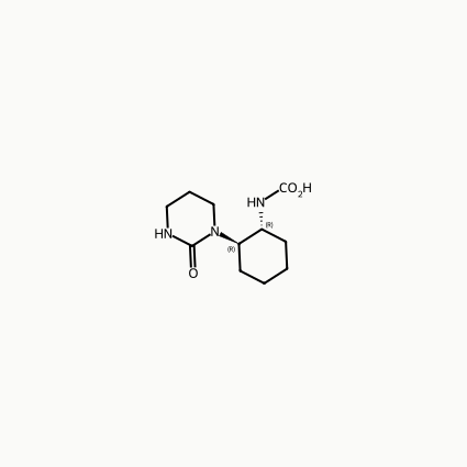 O=C(O)N[C@@H]1CCCC[C@H]1N1CCCNC1=O